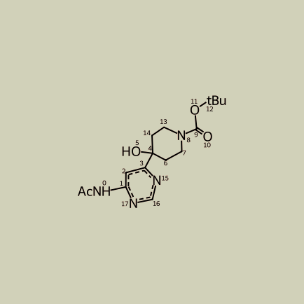 CC(=O)Nc1cc(C2(O)CCN(C(=O)OC(C)(C)C)CC2)ncn1